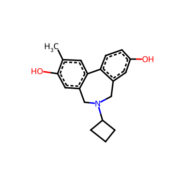 Cc1cc2c(cc1O)CN(C1CCC1)Cc1cc(O)ccc1-2